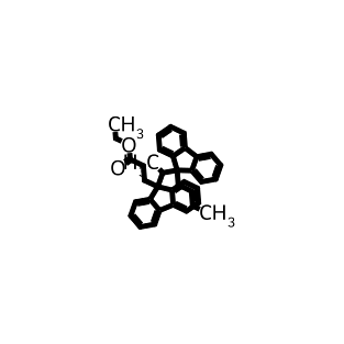 CCCCC1(C(C)C2(CCC(=O)OCC)c3ccccc3-c3ccccc32)c2ccccc2-c2ccccc21